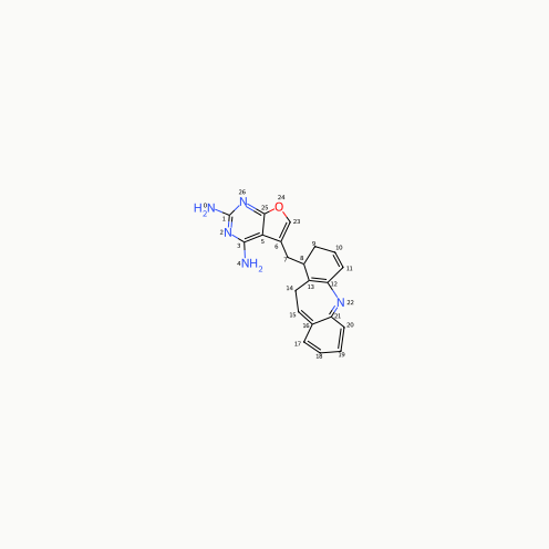 Nc1nc(N)c2c(CC3CC=CC4=C3CC=c3ccccc3=N4)coc2n1